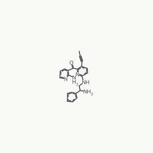 CC#Cc1ccc(NCC(N)c2ccccc2)nc1C(=O)c1cccnc1N